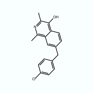 [CH2]c1nc(C)c2cc(Cc3ccc(Cl)cc3)ccc2c1O